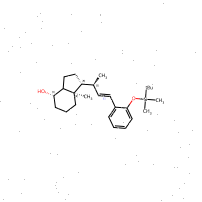 C[C@@H](/C=C/c1ccccc1O[Si](C)(C)C(C)(C)C)[C@H]1CCC2[C@@H](O)CCC[C@@]21C